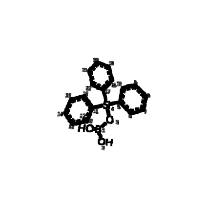 OB(O)O[Si](c1ccccc1)(c1ccccc1)c1ccccc1